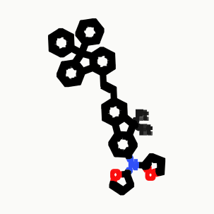 CCC1(CC)c2cc(/C=C/c3cccc4c3-c3ccccc3C4(c3ccccc3)c3ccccc3)ccc2-c2ccc(N(c3ccco3)C3CC=CO3)cc21